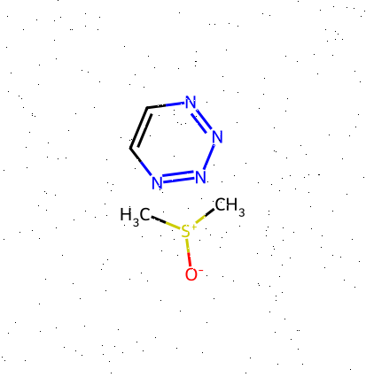 C[S+](C)[O-].c1cnnnn1